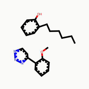 CCCCCCc1ccccc1O.COc1ccccc1-c1ccnnn1